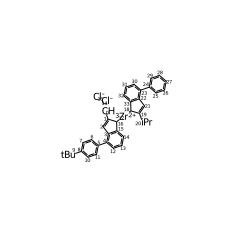 CC1=Cc2c(-c3ccc(C(C)(C)C)cc3)cccc2[CH]1[Zr+2][CH]1C(C(C)C)=Cc2c(-c3ccccc3)cccc21.[Cl-].[Cl-]